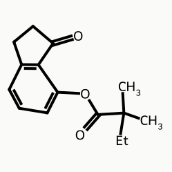 CCC(C)(C)C(=O)Oc1cccc2c1C(=O)CC2